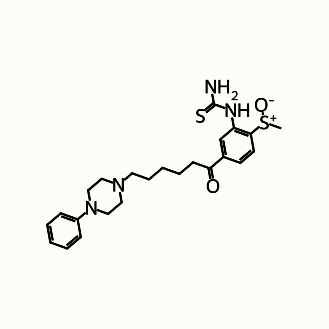 C[S+]([O-])c1ccc(C(=O)CCCCCN2CCN(c3ccccc3)CC2)cc1NC(N)=S